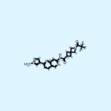 Cn1cc(-c2ccc3cnc(NC(=O)C4CC5(C4)CN(C(=O)C(F)(F)F)C5)cc3n2)cn1